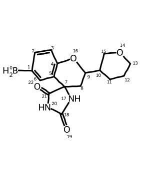 Bc1ccc2c(c1)C1(CC(C3CCCOC3)O2)NC(=O)NC1=O